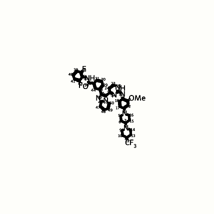 COc1cc(N2CCC(N3CCC(C(F)(F)F)CC3)CC2)ccc1Nc1nccc(-c2c(-c3cccc(C(=O)Nc4c(F)cccc4F)c3)nc3ccccn23)n1